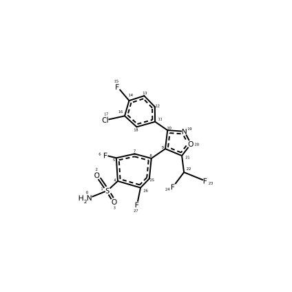 NS(=O)(=O)c1c(F)cc(-c2c(-c3ccc(F)c(Cl)c3)noc2C(F)F)cc1F